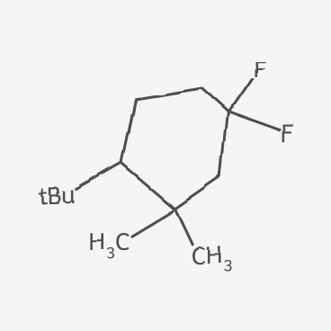 CC(C)(C)C1CCC(F)(F)CC1(C)C